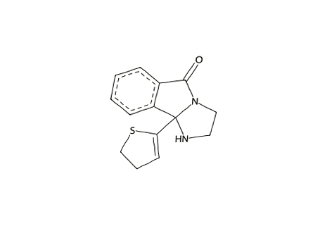 O=C1c2ccccc2C2(C3=CCCS3)NCCN12